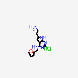 Cl.NCCc1cc2c(NCc3ccco3)nc(Cl)nc2[nH]1